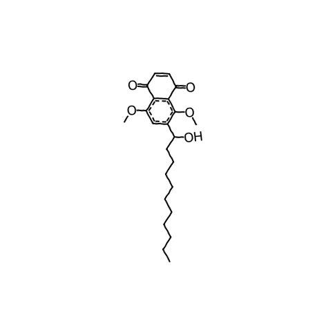 CCCCCCCCCCC(O)c1cc(OC)c2c(c1OC)C(=O)C=CC2=O